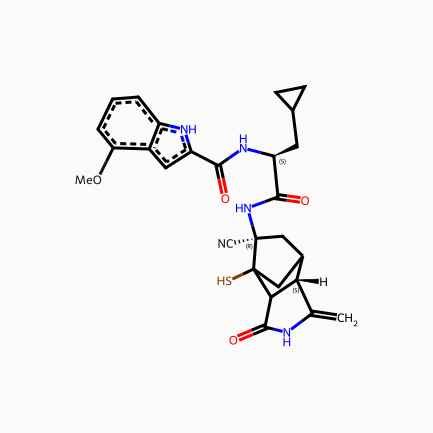 C=C1NC(=O)C2[C@@H]1C1CC2(S)[C@@](C#N)(NC(=O)[C@H](CC2CC2)NC(=O)c2cc3c(OC)cccc3[nH]2)C1